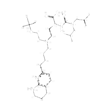 CC(C)CN(CC(C)C)C(=O)N[C@@H](CCN(CCCCc1ccc2c(n1)NCCC2)CCOC(C)(C)C)C(=O)O